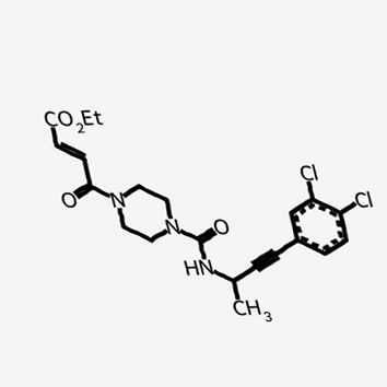 CCOC(=O)/C=C/C(=O)N1CCN(C(=O)NC(C)C#Cc2ccc(Cl)c(Cl)c2)CC1